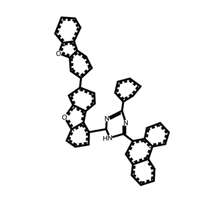 c1ccc(C2=NC(c3cccc4oc5cc(-c6ccc7c(c6)oc6ccccc67)ccc5c34)NC(c3cc4ccccc4c4ccccc34)=N2)cc1